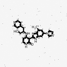 Cc1cc(-n2ccnc2)cc2[nH]c(-c3c(NC(CO)Cc4ccncc4)cc[nH]c3=O)nc12